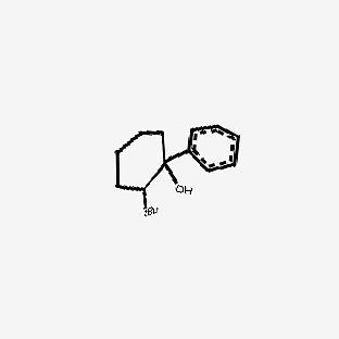 CC(C)(C)C1CCCCC1(O)c1ccccc1